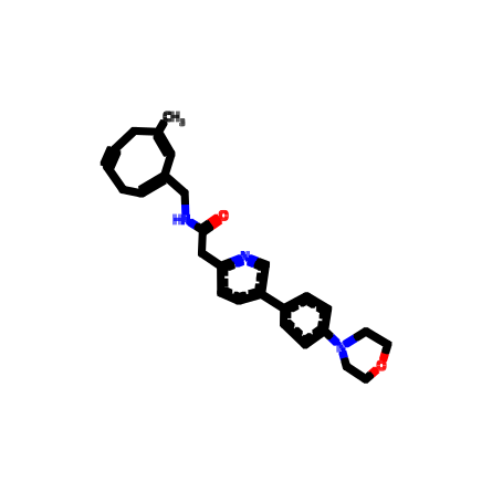 C/C1=C/C(CNC(=O)Cc2ccc(-c3ccc(N4CCOCC4)cc3)cn2)=C\CC#CC1